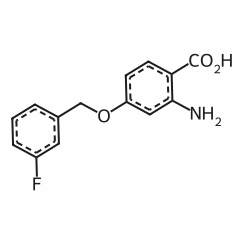 Nc1cc(OCc2cccc(F)c2)ccc1C(=O)O